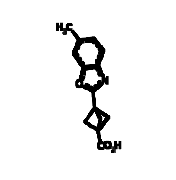 Cc1ccc2nc(C34CC(C(=O)O)(C3)C4)oc2c1